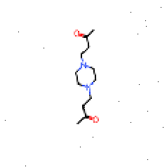 CC(=O)CCN1CCN(CCC(C)=O)CC1